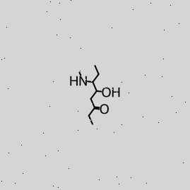 CCC(=O)CC(O)C(CC)NC